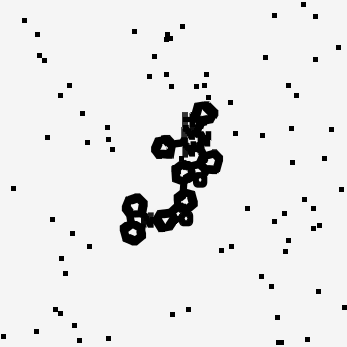 C1=c2oc3c(-c4ccc5oc6ccc(-n7c8ccccc8c8ccccc87)cc6c5c4)cccc3c2=C(C2=NC(c3ccccc3)NC(c3ccccc3)=N2)CC1